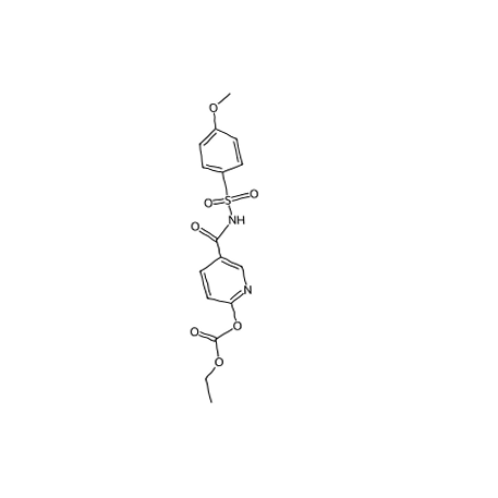 CCOC(=O)Oc1ccc(C(=O)NS(=O)(=O)c2ccc(OC)cc2)cn1